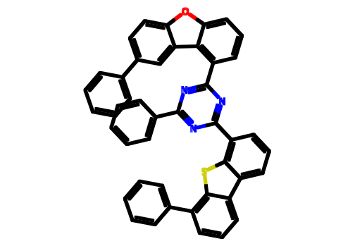 c1ccc(-c2ccc3oc4cccc(-c5nc(-c6ccccc6)nc(-c6cccc7c6sc6c(-c8ccccc8)cccc67)n5)c4c3c2)cc1